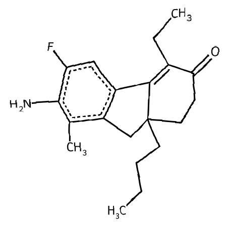 CCCCC12CCC(=O)C(CC)=C1c1cc(F)c(N)c(C)c1C2